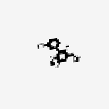 Fc1c(CBr)cc2scnc2c1-c1cccc(Cl)c1